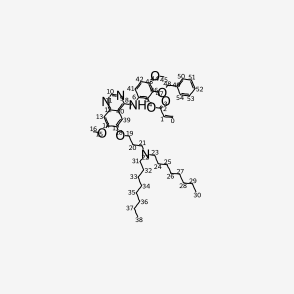 C=CC(=O)Oc1c(Nc2ncnc3cc(OC)c(OCCCN(CCCCCCCC)CCCCCCCC)cc23)ccc(OC)c1OCc1ccccc1